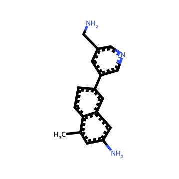 Cc1cc(N)cc2cc(-c3cncc(CN)c3)ccc12